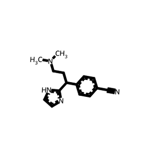 CN(C)CCC(c1ccc(C#N)cc1)c1ncc[nH]1